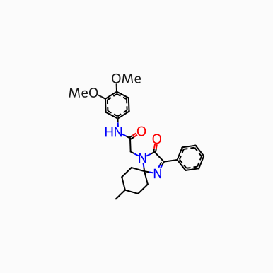 COc1ccc(NC(=O)CN2C(=O)C(c3ccccc3)=NC23CCC(C)CC3)cc1OC